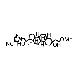 COCC[C@@]1(O)CC[C@H]2[C@H](CC[C@@H]3[C@@H]2CC[C@@]2(C)[C@H]3CC[C@@H]2[C@@](C)(O)Cn2cc(C#N)cn2)C1